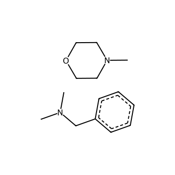 CN(C)Cc1ccccc1.CN1CCOCC1